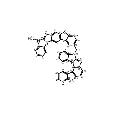 Cn1c2ccccc2n2c3cc4c(cc3nc12)sc1ncc(Cn2c3ccccc3n3c5c(ccc6sc7ncccc7c65)nc23)cc14